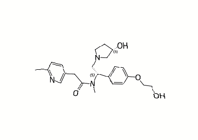 Cc1ccc(CC(=O)N(C)[C@H](CN2CC[C@H](O)C2)c2ccc(OCCO)cc2)cn1